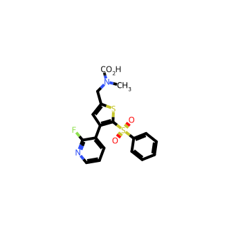 CN(Cc1cc(-c2cccnc2F)c(S(=O)(=O)c2ccccc2)s1)C(=O)O